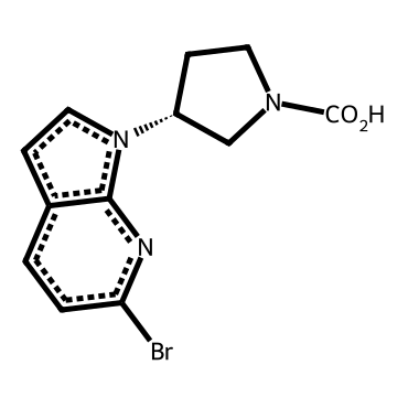 O=C(O)N1CC[C@@H](n2ccc3ccc(Br)nc32)C1